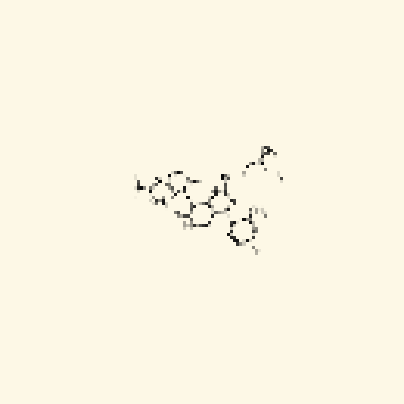 Cc1cc(F)ccc1-c1nc(NCCN(C)C)nc2c1CNC(=O)N2c1c(F)cccc1F.O=C(O)C(F)(F)F